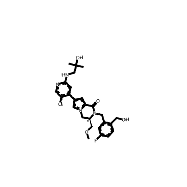 COC[C@H]1Cn2cc(-c3cc(NCC(C)(C)O)ncc3Cl)cc2C(=O)N1Cc1cc(F)ccc1CO